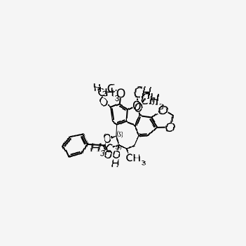 COc1cc2c(c(OC)c1OC)-c1c(cc3c(c1OC)OCO3)CC(C)[C@](C)(O)[C@H]2OC(=O)c1ccccc1